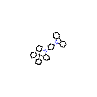 c1ccc(C2(c3ccccc3)c3ccccc3N(c3ccc(-n4c5ccccc5c5ccccc54)cc3)c3ccccc32)cc1